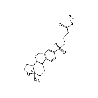 COC(=O)CCCS(=O)(=O)c1ccc2c(c1)CCC1C2CC[C@]2(C)OCCC12